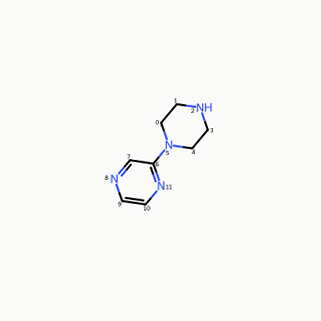 [CH]1CNCCN1c1cnccn1